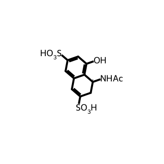 CC(=O)N[C]1CC(S(=O)(=O)O)=Cc2cc(S(=O)(=O)O)cc(O)c21